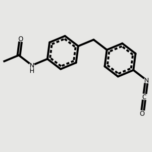 CC(=O)Nc1ccc(Cc2ccc(N=C=O)cc2)cc1